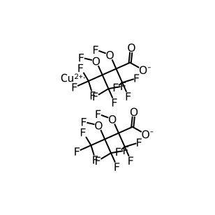 O=C([O-])C(OF)(C(F)(F)F)C(OF)(C(F)(F)F)C(F)(F)F.O=C([O-])C(OF)(C(F)(F)F)C(OF)(C(F)(F)F)C(F)(F)F.[Cu+2]